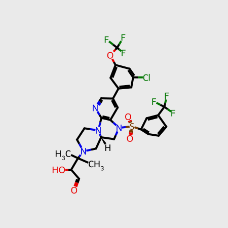 CC(C)(C(O)C=O)N1CCN2c3ncc(-c4cc(Cl)cc(OC(F)(F)F)c4)cc3N(S(=O)(=O)c3cccc(C(F)(F)F)c3)C[C@@H]2C1